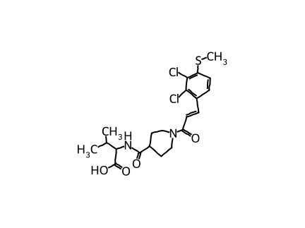 CSc1ccc(C=CC(=O)N2CCC(C(=O)NC(C(=O)O)C(C)C)CC2)c(Cl)c1Cl